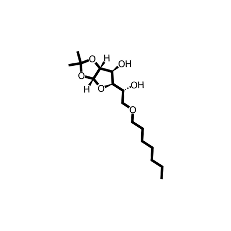 CCCCCCCOC[C@@H](O)[C@H]1O[C@@H]2OC(C)(C)O[C@@H]2[C@H]1O